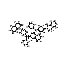 c1ccc(N(c2ccc(-c3cccc4ccccc34)cc2)c2cc(N(c3ccccc3)c3ccc(-c4ccc5ccccc5c4)cc3)c3ccccc3c2)cc1